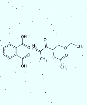 C=C(C)C(=O)C(COCC)OC(C)=O.O=C(O)c1ccccc1C(=O)O